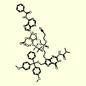 COc1ccc(C(OCc2nc3c(=O)[nH]c(NC(=O)C(C)C)nc3n2CCOP(=S)(OCCC#N)OC[C@H]2O[C@@H](n3cnc4c(NC(=O)c5ccccc5)ncnc43)[C@H](O[PH](=O)O)[C@@H]2O[Si](C)(C)C(C)(C)C)(c2ccccc2)c2ccc(OC)cc2)cc1